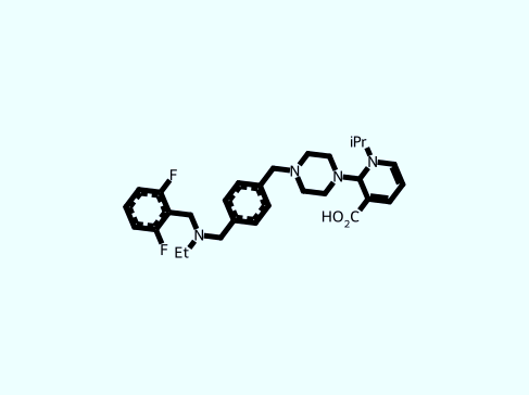 CCN(Cc1ccc(CN2CCN(C3C(C(=O)O)=CC=CN3C(C)C)CC2)cc1)Cc1c(F)cccc1F